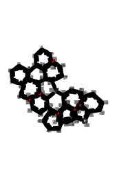 c1ccc(-c2cccc3cccc(-c4ccccc4N(c4ccccc4-c4ccc5oc6ccccc6c5c4)c4cccc5sc6ccccc6c45)c23)cc1